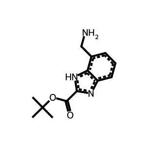 CC(C)(C)OC(=O)c1nc2cccc(CN)c2[nH]1